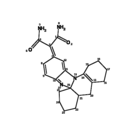 NC(=O)C(C(N)=O)=c1ccc2c(c1)N1C3=C(CCCC3)CC3CCCCC31N=2